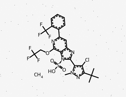 C.Cn1nc(C(C)(C)C)c(Cl)c1-c1nc2cc(-c3ccccc3C(F)(F)F)nc(OCC(F)(F)F)c2n1S(=O)(=O)O